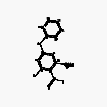 C=C(C)c1c(C)cc(Cc2ccccn2)cc1OC